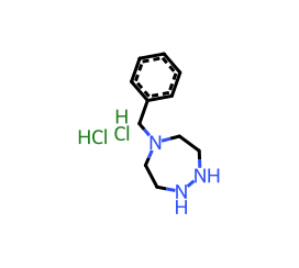 Cl.Cl.c1ccc(CN2CCNNCC2)cc1